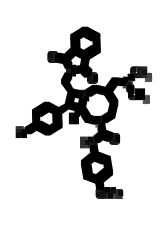 COc1ccc(NC(=O)N2CCC(CN(C)C)CN3[C@H](CN4C(=O)c5ccccc5C4=O)[C@H](c4ccc(Br)cc4)[C@@H]3C2)cc1